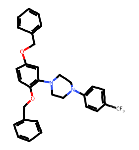 FC(F)(F)c1ccc(N2CCN(c3cc(OCc4ccccc4)ccc3OCc3ccccc3)CC2)cc1